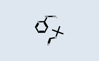 CC(C)(C)OC=O.NNc1ccccn1